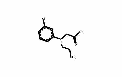 NCC[C@@H](CC(=O)O)c1cccc(Cl)c1